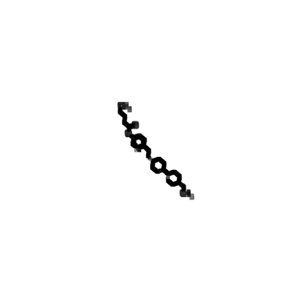 CCCCC(=O)Oc1ccc(CC[C@H]2CC[C@H]([C@H]3CC[C@H](CC)CC3)CC2)nc1